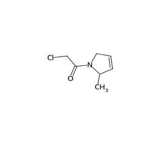 CC1C=CCN1C(=O)CCl